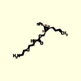 C=CCC[C@H]1[C@@H](CCC)[C@H]1COC(=O)NCCOCCN